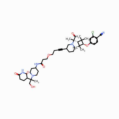 CC(CO)(C1CCC(=O)NC1=O)N1CCC(NC(=O)CCOCCC#CC2CCCN(C(C)(C=O)[C@H]3C(C)(C)[C@H](Oc4ccc(C#N)c(Cl)c4)C3(C)C)C2)CC1